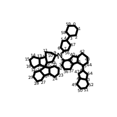 C1CCC(C2CCC(N(C3CCC4C5CCCCC5C5(C6CCCCC6C6CCCCC65)C4C3)C3CCCC4C3CC3CCCC(C5CC6CCCCC6C5)C34)CC2)CC1